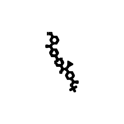 CC(C)(C)OC(=O)N1CCC(N(C(=O)c2cnc(-c3ccc(C(=O)N4CCCC(O)C4)cc3)nc2)C2CC2)CC1